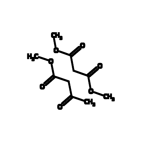 COC(=O)CC(=O)OC.COC(=O)CC(C)=O